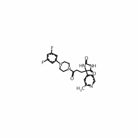 Cc1cc(C2(CCC(=O)N3CCN(c4cc(F)cc(F)c4)CC3)NC(=O)NC2=O)ccn1